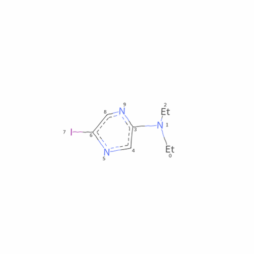 CCN(CC)c1cnc(I)cn1